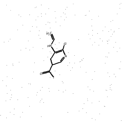 C=CNC1=C(Cl)N=CC(C(=O)I)C1